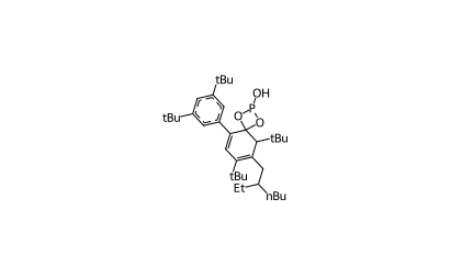 CCCCC(CC)CC1=C(C(C)(C)C)C=C(c2cc(C(C)(C)C)cc(C(C)(C)C)c2)C2(OP(O)O2)C1C(C)(C)C